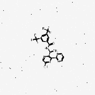 Cc1cnc(C(C)NC(=O)c2cc(C(F)(F)F)cc(C(F)(F)F)c2)c(-c2ncccn2)n1